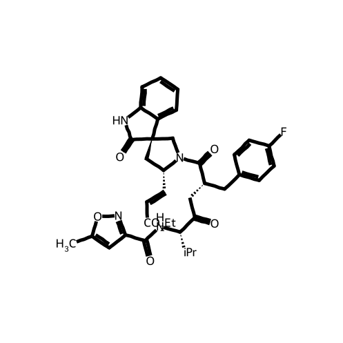 CCOC(=O)/C=C/[C@@H]1C[C@@]2(CN1C(=O)[C@@H](CC(=O)[C@@H](NC(=O)c1cc(C)on1)C(C)C)Cc1ccc(F)cc1)C(=O)Nc1ccccc12